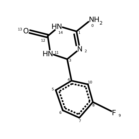 NC1=NC(c2cccc(F)c2)NC(=O)N1